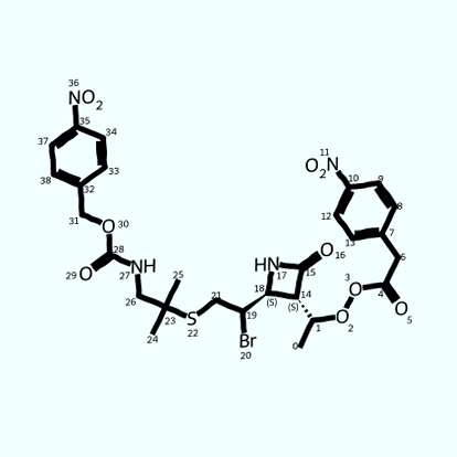 CC(OOC(=O)Cc1ccc([N+](=O)[O-])cc1)[C@H]1C(=O)N[C@@H]1C(Br)CSC(C)(C)CNC(=O)OCc1ccc([N+](=O)[O-])cc1